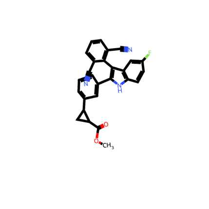 COC(=O)C1CC1c1cccc(-c2[nH]c3ccc(F)cc3c2-c2c(C#N)cccc2C#N)c1